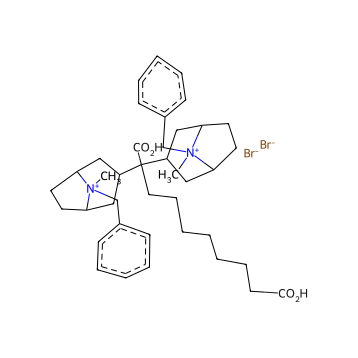 C[N+]1(Cc2ccccc2)C2CCC1CC(C(CCCCCCCC(=O)O)(C(=O)O)C1CC3CCC(C1)[N+]3(C)Cc1ccccc1)C2.[Br-].[Br-]